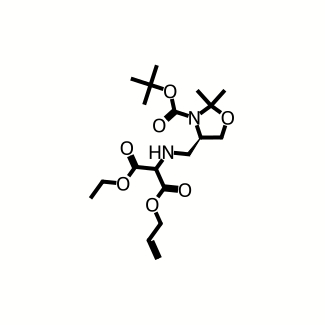 C=CCOC(=O)C(NC[C@@H]1COC(C)(C)N1C(=O)OC(C)(C)C)C(=O)OCC